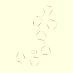 Cc1ccccc1-c1cccc(-c2cccc(-c3ccc4c(c3)c3cccc5c6ccccc6c6cccc4c6c53)c2)c1S